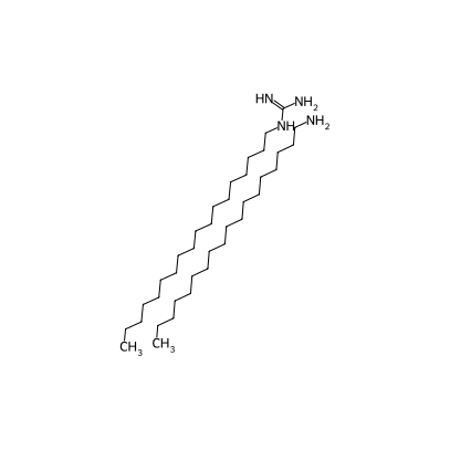 CCCCCCCCCCCCCCCCCCN.CCCCCCCCCCCCCCCCCCNC(=N)N